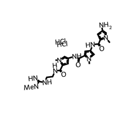 CNC(=N)NCCNC(=O)c1cc(NC(=O)c2cc(NC(=O)c3cc(N)cn3C)cn2C)cn1C.Cl.Cl